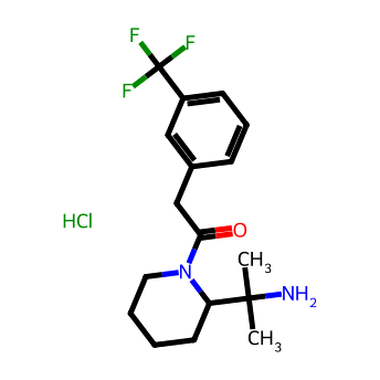 CC(C)(N)C1CCCCN1C(=O)Cc1cccc(C(F)(F)F)c1.Cl